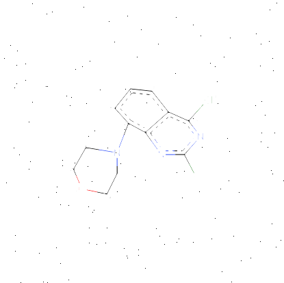 Clc1nc(Cl)c2cccc(N3CCOCC3)c2n1